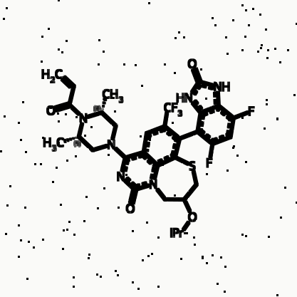 C=CC(=O)N1[C@H](C)CN(c2nc(=O)n3c4c(c(-c5c(F)cc(F)c6[nH]c(=O)[nH]c56)c(C(F)(F)F)cc24)SCC(OC(C)C)C3)C[C@@H]1C